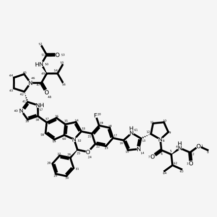 COC(=O)N[C@H](C(=O)N1CCC[C@H]1c1ncc(-c2cc(F)c3c(c2)O[C@@H](c2ccccc2)n2c-3cc3cc(-c4cnc([C@@H]5CCCN5C(=O)[C@@H](NC(C)=O)C(C)C)[nH]4)ccc32)[nH]1)C(C)C